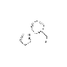 FCc1ccccc1.c1cscn1